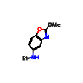 CCNc1ccc2oc(OC)nc2c1